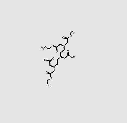 CCOC(=O)CN(CCN(CCN(CC(=O)OC)CC(=O)OCC)CC(=O)O)CC(=O)O